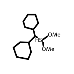 CO[SiH](OC)C(C1CCCCC1)C1CCCCC1